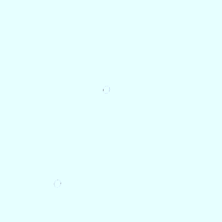 CC(C)(C)COCCC[O]